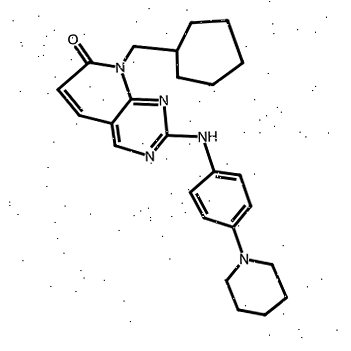 O=c1ccc2cnc(Nc3ccc(N4CCCCC4)cc3)nc2n1CC1CCCCC1